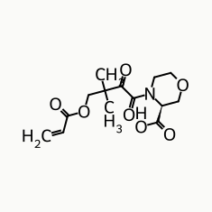 C=CC(=O)OCC(C)(C)C(=O)C(=O)N1CCOC[C@H]1C(=O)O